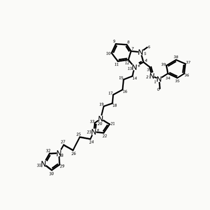 CN(N=Cc1n(C)c2ccccc2[n+]1CCCCCCn1cc[n+](CCCCn2ccnc2)c1)c1ccccc1